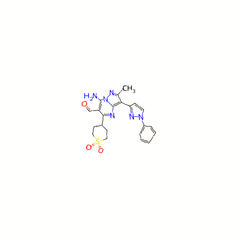 Cc1nn2c(N)c(C=O)c(C3CCS(=O)(=O)CC3)nc2c1-c1ccn(-c2ccccc2)n1